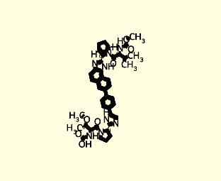 COC(=O)N[C@H](C(=O)N1[C@@H]2CC[C@@H](C2)[C@H]1c1nc2ccc3cc(-c4ccc(-c5cnc([C@@H]6CCCN6C(=O)[C@@H](NC(=O)O)[C@@H](C)OC)[nH]5)cc4)ccc3c2[nH]1)C(C)C